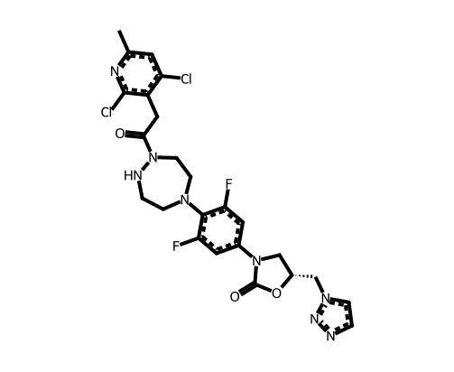 Cc1cc(Cl)c(CC(=O)N2CCN(c3c(F)cc(N4C[C@H](Cn5ccnn5)OC4=O)cc3F)CCN2)c(Cl)n1